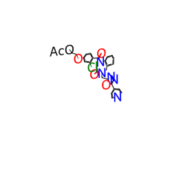 CC(=O)OCCOc1ccc(C(=O)N2CC(=O)N(Cc3nnc(-c4ccncc4)o3)Cc3ccccc32)c(Cl)c1